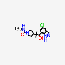 CC(C)(C)NC(=O)N1CCC(C(C)(C)C(O)c2cc(Cl)cc3cn[nH]c23)CC1